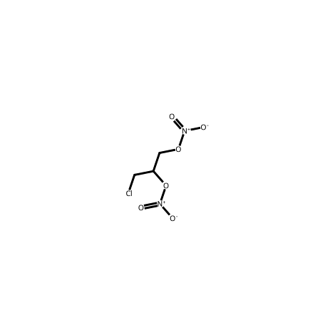 O=[N+]([O-])OCC(CCl)O[N+](=O)[O-]